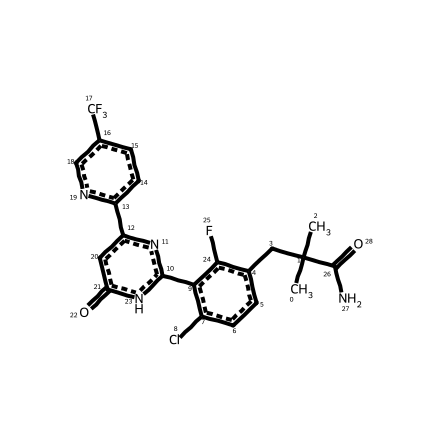 CC(C)(Cc1ccc(Cl)c(-c2nc(-c3ccc(C(F)(F)F)cn3)cc(=O)[nH]2)c1F)C(N)=O